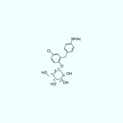 CC(=O)Nc1ccc(Cc2cc(Cl)ccc2O[C@H]2S[C@@H](CO)[C@@H](O)[C@H](O)[C@H]2O)cc1